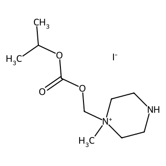 CC(C)OC(=O)OC[N+]1(C)CCNCC1.[I-]